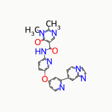 Cc1ncc(C(=O)Nc2ccc(Oc3ccnc(-c4ccn5ccnc5c4)c3)cn2)c(=O)n1C